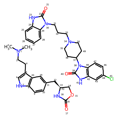 CN(C)CCc1c[nH]c2ccc(C[C@H]3COC(=O)N3)cc12.O=c1[nH]c2ccccc2n1CCCN1CCC(n2c(=O)[nH]c3cc(Cl)ccc32)CC1